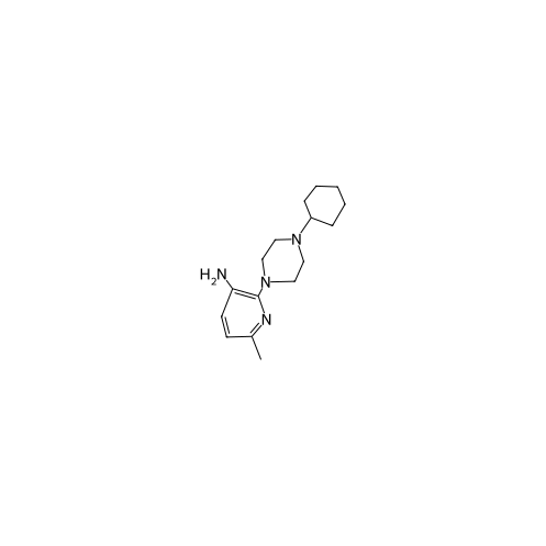 Cc1ccc(N)c(N2CCN(C3CCCCC3)CC2)n1